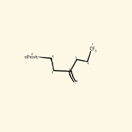 [CH]=C(CCCCCCC)CCC(F)(F)F